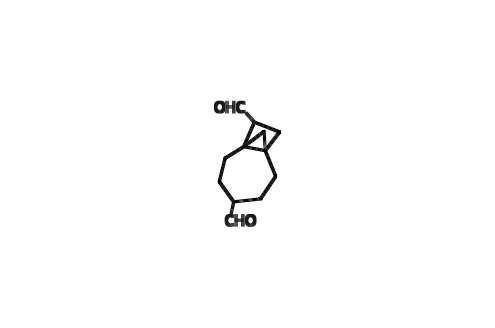 O=CC1CCC23CC(C=O)C2(CC1)C3